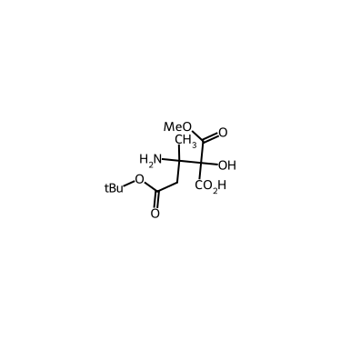 COC(=O)C(O)(C(=O)O)C(C)(N)CC(=O)OC(C)(C)C